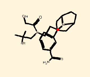 CCCC(C)(C)CN(CCCN1C2CCC1CC(c1cccc(C(N)=O)c1)C2)C(=O)CO